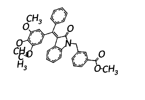 COC(=O)c1cccc(CN2C(=O)/C(=C(\c3ccccc3)c3cc(OC)c(OC)c(OC)c3)c3ccccc32)c1